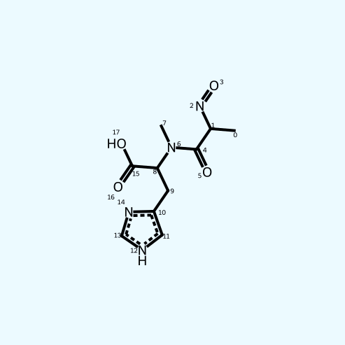 CC(N=O)C(=O)N(C)C(Cc1c[nH]cn1)C(=O)O